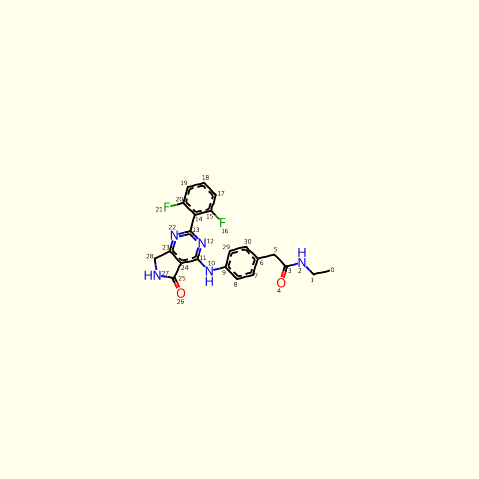 CCNC(=O)Cc1ccc(Nc2nc(-c3c(F)cccc3F)nc3c2C(=O)NC3)cc1